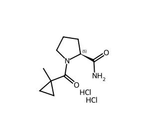 CC1(C(=O)N2CCC[C@H]2C(N)=O)CC1.Cl.Cl